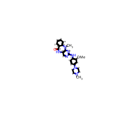 COc1cc(N2CCN(C)CC2)ccc1Nc1ncc2c(n1)N(C)c1ccccc1C(=O)N2